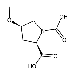 CO[C@@H]1C[C@H](C(=O)O)N(C(=O)O)C1